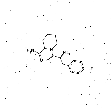 NC(=O)C1CCCCN1C(=O)[C@@H](N)Cc1ccc(F)cc1